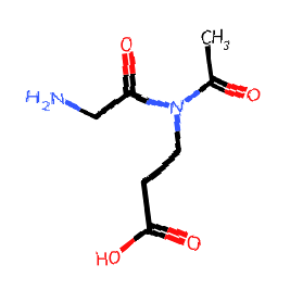 CC(=O)N(CCC(=O)O)C(=O)CN